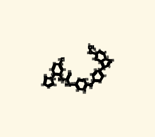 COc1ccn2ncc(-c3ccc(Oc4ncc(NC(=O)Nc5cc(Cl)ccc5-n5cccn5)cn4)cc3)c2n1